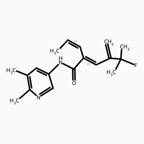 C=C(/C=C(\C=C/C)C(=O)Nc1cnc(C)c(C)c1)C(C)(C)F